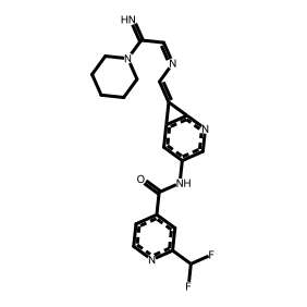 N=C(/C=N\C=C1\c2cc(NC(=O)c3ccnc(C(F)F)c3)cnc21)N1CCCCC1